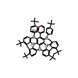 CC(C)(C)c1ccc(B2c3c(-c4ccccc4F)c4c5c6c3-n3c7c2ccc(C(C)(C)C)c7c2c(C(C)(C)C)ccc(c23)B6c2ccc(C(C)(C)C)c3c6c(C(C)(C)C)ccc(c6n-5c23)B4c2ccc(C(C)(C)C)cc2)cc1